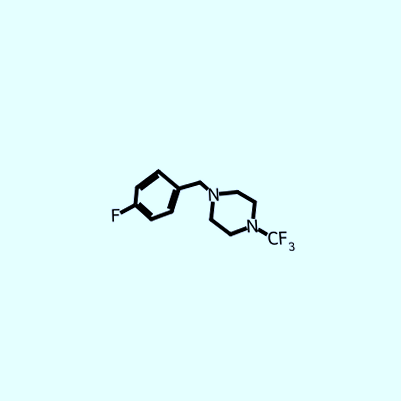 Fc1ccc(CN2CCN(C(F)(F)F)CC2)cc1